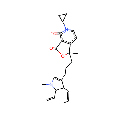 C=CC1C(/C=C\C)C(CCCC2(C)OC(=O)c3c2ccn(C2CC2)c3=O)=CN1C